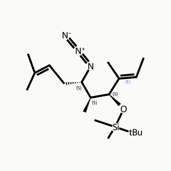 C/C=C(\C)[C@@H](O[Si](C)(C)C(C)(C)C)[C@@H](C)[C@H](CC=C(C)C)N=[N+]=[N-]